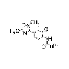 CCCC(=O)NC1C=CC(C2N=C(C(F)(F)F)ON2C)=CC1=O